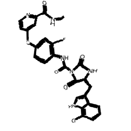 CNC(=O)c1cc(Oc2ccc(NC(=O)N3C(=O)NC(Cc4c[nH]c5c(Cl)cccc45)C3=O)c(F)c2)ccn1